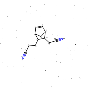 N#CCCC1C2C=CC(C2)C1CC#N